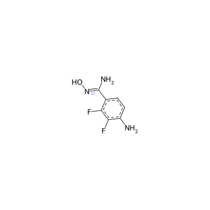 N/C(=N\O)c1ccc(N)c(F)c1F